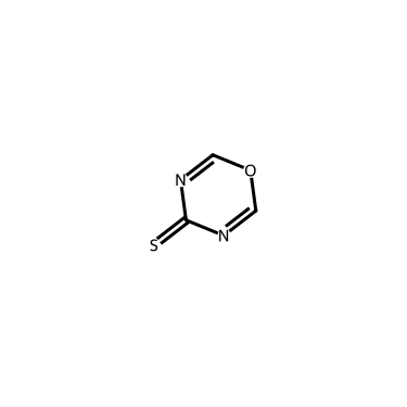 S=c1ncocn1